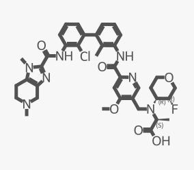 COc1cc(C(=O)Nc2cccc(-c3cccc(NC(=O)c4nc5c(n4C)CCN(C)C5)c3Cl)c2C)ncc1CN([C@@H]1CCOC[C@@H]1F)[C@@H](C)C(=O)O